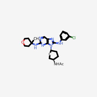 CC(=O)N[C@H]1CC[C@@H](n2c(Nc3cccc(Cl)c3)nc3cnc(NC4(C)CCOCC4)nc32)CC1